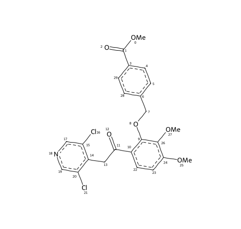 COC(=O)c1ccc(COc2c(C(=O)Cc3c(Cl)cncc3Cl)ccc(OC)c2OC)cc1